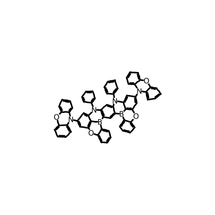 c1ccc(N2c3cc4c(cc3B3c5ccccc5Oc5cc(N6c7ccccc7Oc7ccccc76)cc2c53)B2c3ccccc3Oc3cc(N5c6ccccc6Oc6ccccc65)cc(c32)N4c2ccccc2)cc1